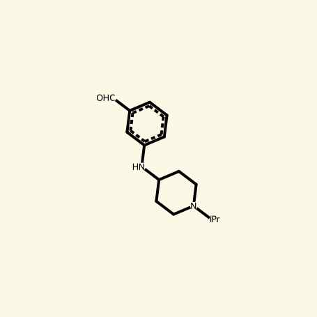 CC(C)N1CCC(Nc2cccc(C=O)c2)CC1